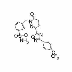 NS(=O)(=O)c1cccc(Cn2nc(-c3nc(-c4ccc(OC(F)(F)F)cc4)no3)ccc2=O)c1